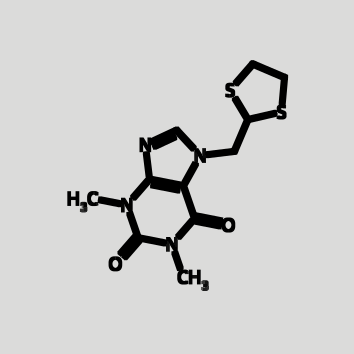 Cn1c(=O)c2c(ncn2CC2SCCS2)n(C)c1=O